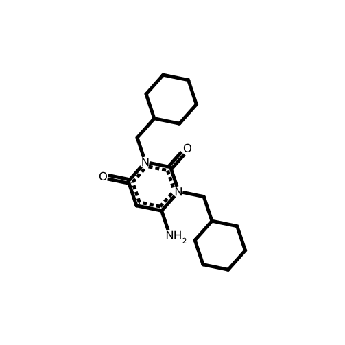 Nc1cc(=O)n(CC2CCCCC2)c(=O)n1CC1CCCCC1